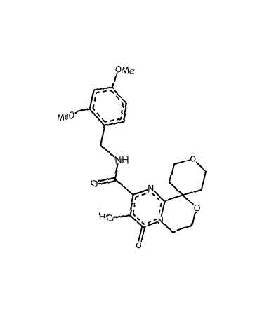 COc1ccc(CNC(=O)c2nc3n(c(=O)c2O)CCOC32CCOCC2)c(OC)c1